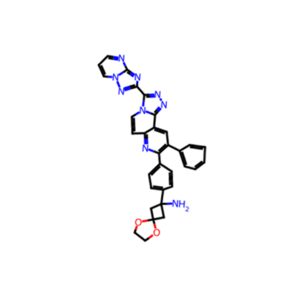 NC1(c2ccc(-c3nc4ccn5c(-c6nc7ncccn7n6)nnc5c4cc3-c3ccccc3)cc2)CC2(C1)OCCO2